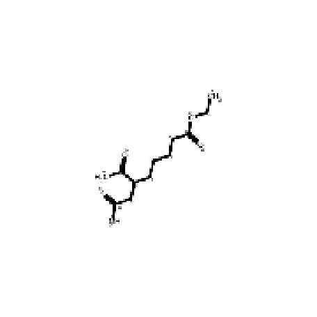 CCOC(=O)CCCCC(CC(O)=S)C(C)=O